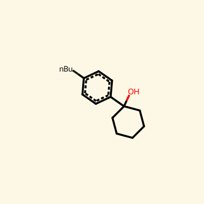 CCCCc1ccc(C2(O)CCCCC2)cc1